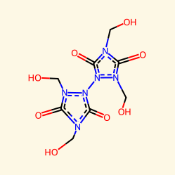 O=c1n(CO)c(=O)n(-n2c(=O)n(CO)c(=O)n2CO)n1CO